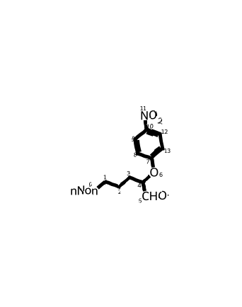 CCCCCCCCCCCCC([C]=O)Oc1ccc([N+](=O)[O-])cc1